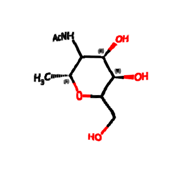 CC(=O)NC1[C@@H](O)[C@@H](O)C(CO)O[C@@H]1C